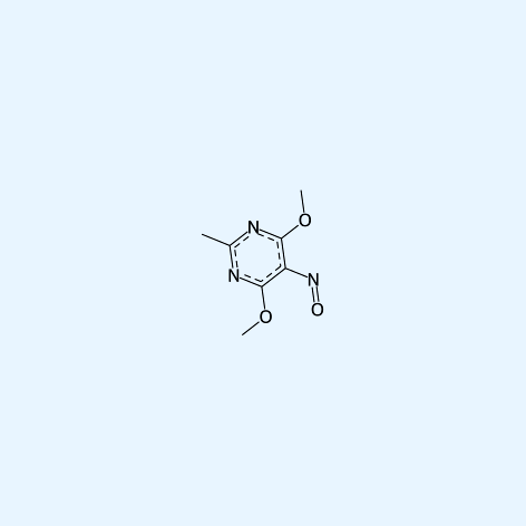 COc1nc(C)nc(OC)c1N=O